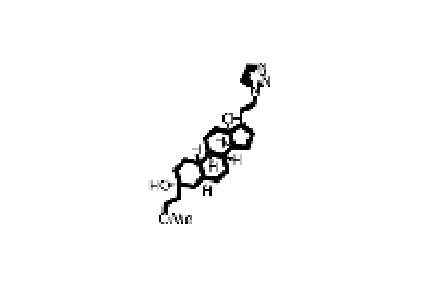 COCC[C@@]1(O)CC[C@H]2[C@@H](CC[C@@H]3[C@@H]2CC[C@]2(C)[C@@H](CCn4ccnn4)CC[C@@H]32)C1